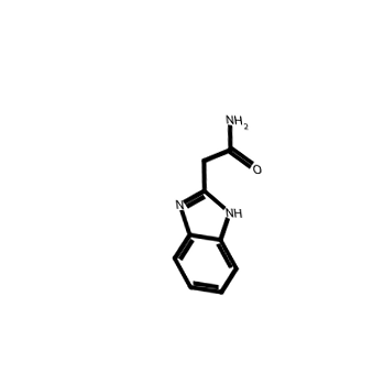 NC(=O)Cc1nc2ccccc2[nH]1